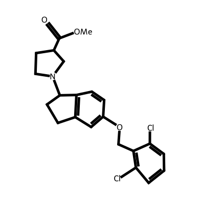 COC(=O)C1CCN(C2CCc3cc(OCc4c(Cl)cccc4Cl)ccc32)C1